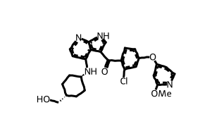 COc1cc(Oc2ccc(C(=O)c3c[nH]c4nccc(N[C@H]5CC[C@@H](CO)CC5)c34)c(Cl)c2)ccn1